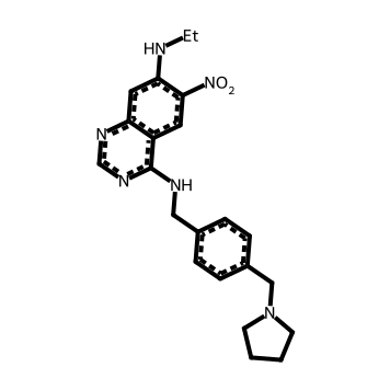 CCNc1cc2ncnc(NCc3ccc(CN4CCCC4)cc3)c2cc1[N+](=O)[O-]